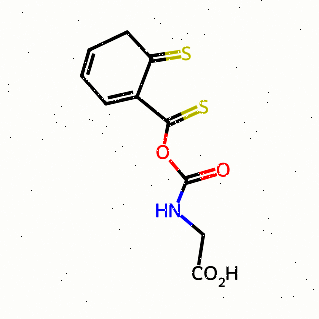 O=C(O)CNC(=O)OC(=S)C1=CC=CCC1=S